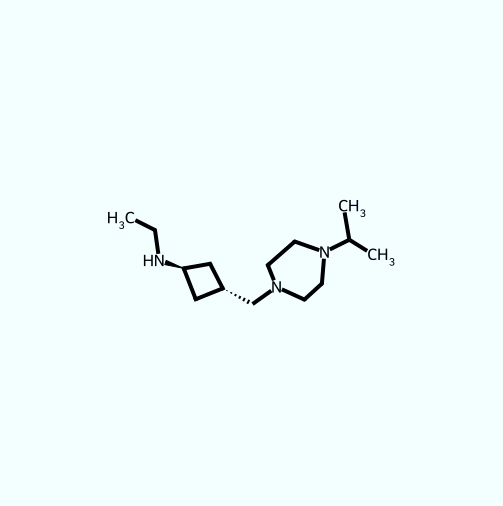 CCN[C@H]1C[C@H](CN2CCN(C(C)C)CC2)C1